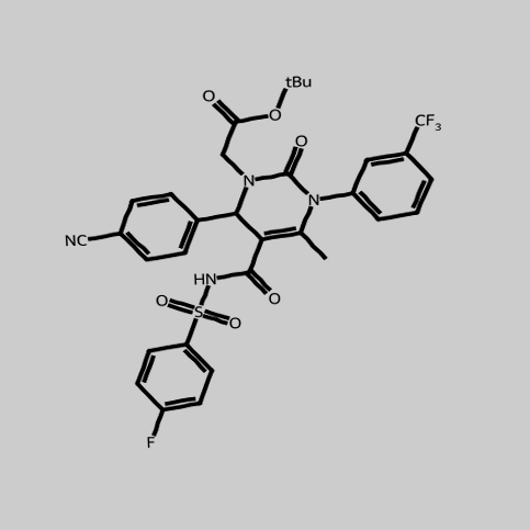 CC1=C(C(=O)NS(=O)(=O)c2ccc(F)cc2)C(c2ccc(C#N)cc2)N(CC(=O)OC(C)(C)C)C(=O)N1c1cccc(C(F)(F)F)c1